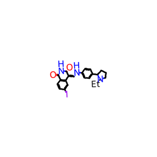 CCN1CCCC1c1ccc(NC=C2C(=O)NC(=O)c3ccc(I)cc32)cc1